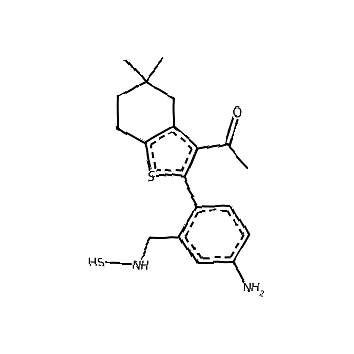 CC(=O)c1c(-c2ccc(N)cc2CNS)sc2c1CC(C)(C)CC2